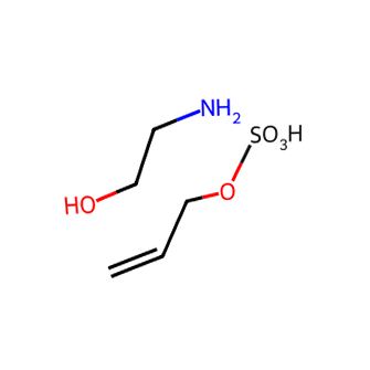 C=CCOS(=O)(=O)O.NCCO